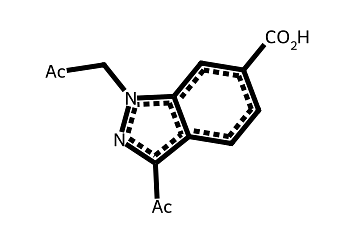 CC(=O)Cn1nc(C(C)=O)c2ccc(C(=O)O)cc21